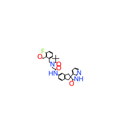 CC(C)(C)C(=O)N(CC(=O)Nc1ccc2c(c1)CC1(C2)C(=O)Nc2ncccc21)Cc1cccc(F)c1C=O